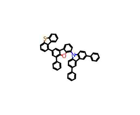 c1ccc(-c2ccc3c(c2)c2cc(-c4ccccc4)ccc2n3-c2cccc3c2oc2c(-c4ccccc4)cc(-c4cccc5sc6ccccc6c45)cc23)cc1